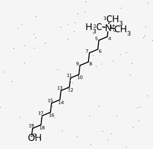 C[N+](C)(C)CCCCCCCCCCCCCCCCO